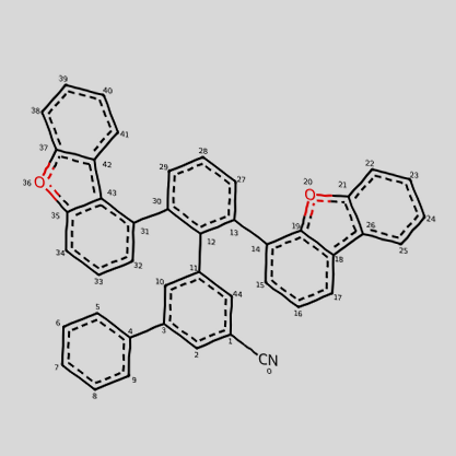 N#Cc1cc(-c2ccccc2)cc(-c2c(-c3cccc4c3oc3ccccc34)cccc2-c2cccc3oc4ccccc4c23)c1